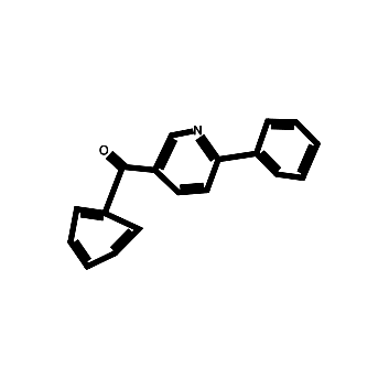 O=C(c1ccccc1)c1ccc(-c2ccccc2)nc1